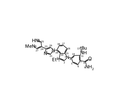 CCc1cn(-c2ccc(C(N)=O)c(NC(C)(C)C)c2)c2cccc(-n3cnc(/C(C=N)=C/NC)c3)c12